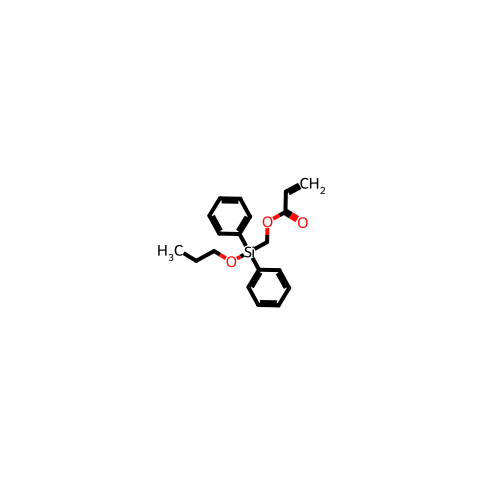 C=CC(=O)OC[Si](OCCC)(c1ccccc1)c1ccccc1